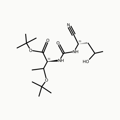 CC(O)C[C@@H](C#N)NC(=O)N[C@H](C(=O)OC(C)(C)C)C(C)OC(C)(C)C